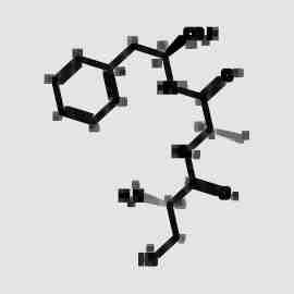 C[C@H](NC(=O)[C@@H](N)CS)C(=O)N[C@@H](Cc1ccccc1)C(=O)O